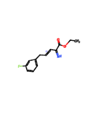 CCOC(=O)C(=N)/C=C/Cc1cccc(F)c1